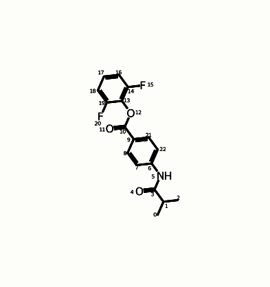 CC(C)C(=O)Nc1ccc(C(=O)Oc2c(F)cccc2F)cc1